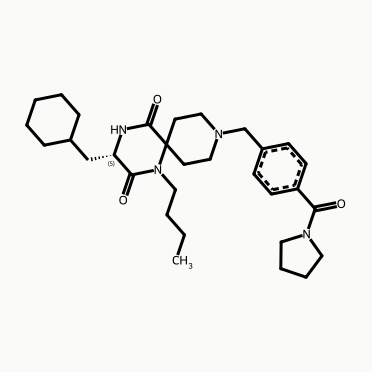 CCCCN1C(=O)[C@H](CC2CCCCC2)NC(=O)C12CCN(Cc1ccc(C(=O)N3CCCC3)cc1)CC2